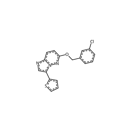 Clc1cccc(COc2ccc3ncc(-c4cccs4)n3n2)c1